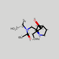 COCC1(CN(C(=O)C(C)(C)C)[C@H](C(=O)O)C(C)C)C(=O)C2CCN1CC2